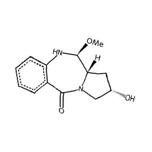 CO[C@@H]1Nc2ccccc2C(=O)N2C[C@@H](O)C[C@@H]12